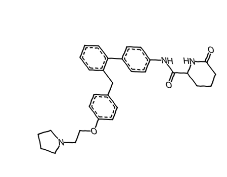 O=C1CCCC(C(=O)Nc2ccc(-c3ccccc3Cc3ccc(OCCN4CCCC4)cc3)cc2)N1